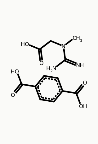 CN(CC(=O)O)C(=N)N.O=C(O)c1ccc(C(=O)O)cc1